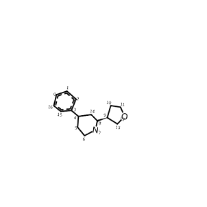 c1ccc(C2CC[N]C([C@H]3CCOC3)C2)cc1